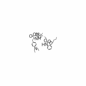 CCCCOc1ccccc1NC(=O)OCC.CCN(CC)c1ccc(CC(NC(=O)OC(C)(C)C)C(=O)O)cc1